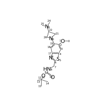 COc1cc2sc(CNC(=O)OC(C)(C)C)nc2cc1N1CC(N(C)C)C1